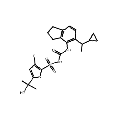 CC(c1ccc2c(c1NC(=O)NS(=O)(=O)c1sc(C(C)(C)O)cc1F)CCC2)C1CC1